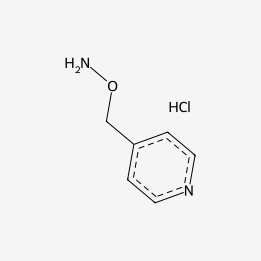 Cl.NOCc1ccncc1